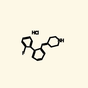 Cl.Fc1ccccc1-c1ccccc1C=C1CCNCC1